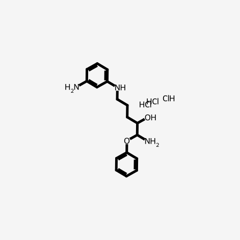 Cl.Cl.Cl.Nc1cccc(NCCCC(O)C(N)Oc2ccccc2)c1